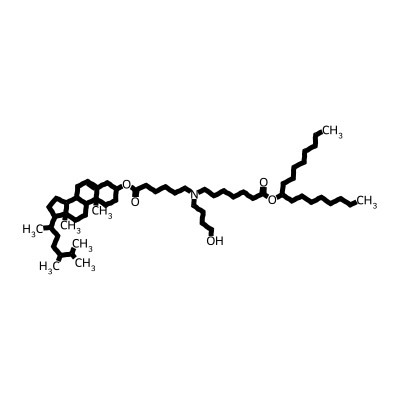 CCCCCCCCC(CCCCCCCC)OC(=O)CCCCCCN(CCCCO)CCCCCC(=O)OC1CCC2(C)C(=CCC3C2CCC2(C)C(C(C)CCC(C)C(C)C)CCC32)C1